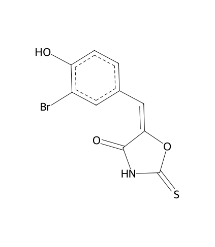 O=C1NC(=S)OC1=Cc1ccc(O)c(Br)c1